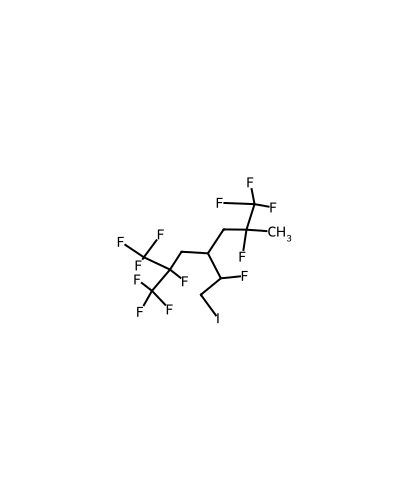 CC(F)(CC(CC(F)(C(F)(F)F)C(F)(F)F)C(F)CI)C(F)(F)F